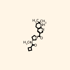 CN(C(=O)C1CCC1)[C@H]1CCN(C(=O)c2cnc3c(c2)CCC(C)(C)N3)C1